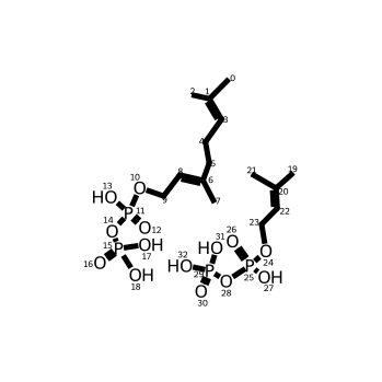 CC(C)=CCCC(C)=CCOP(=O)(O)OP(=O)(O)O.CC(C)=CCOP(=O)(O)OP(=O)(O)O